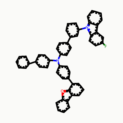 Fc1ccc2c(c1)c1ccccc1n2-c1cccc(-c2ccc(N(c3ccc(-c4ccccc4)cc3)c3ccc(-c4cccc5c4oc4ccccc45)cc3)cc2)c1